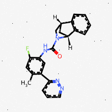 Cc1cc(F)c(NC(=O)N2C[C@H]3C[C@@H]2c2ccccc23)cc1-c1cccnn1